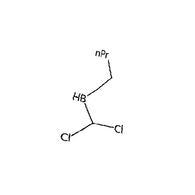 CCCCBC(Cl)Cl